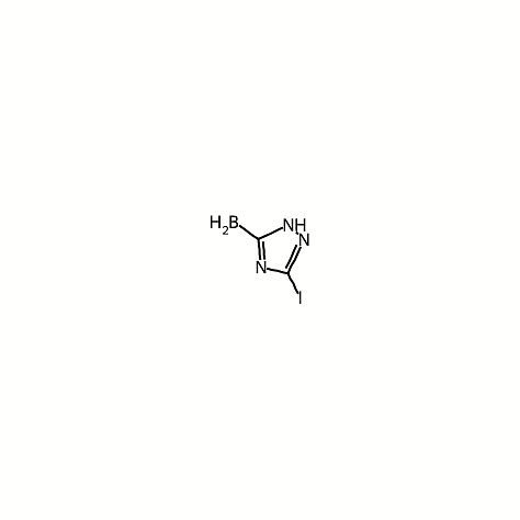 Bc1nc(I)n[nH]1